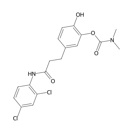 CN(C)C(=O)Oc1cc(CCC(=O)Nc2ccc(Cl)cc2Cl)ccc1O